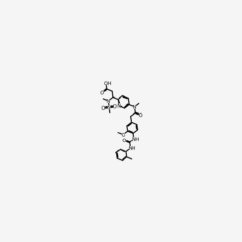 COc1cc(CC(=O)N(C)c2ccc(C(CC(=O)O)N(C)S(C)(=O)=O)nc2)ccc1NC(=O)Nc1ccccc1C